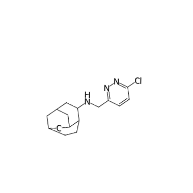 Clc1ccc(CNC2CC3CC4CCC2C(C4)C3)nn1